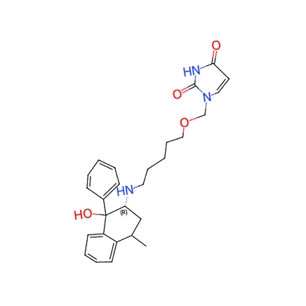 CC1C[C@@H](NCCCCCOCn2ccc(=O)[nH]c2=O)C(O)(c2ccccc2)c2ccccc21